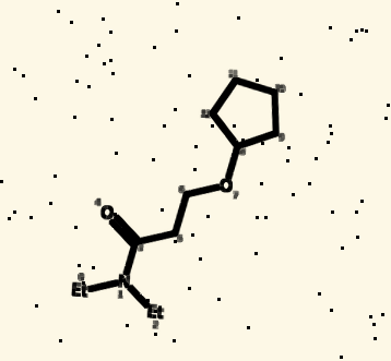 CCN(CC)C(=O)CCOC1CCCC1